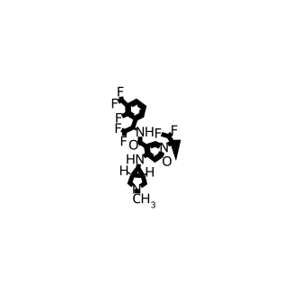 CN1C[C@@H]2C(Nc3cc(=O)n(C4(C(F)F)CC4)cc3C(=O)N[C@H](c3cccc(C(F)F)c3F)C(F)F)[C@@H]2C1